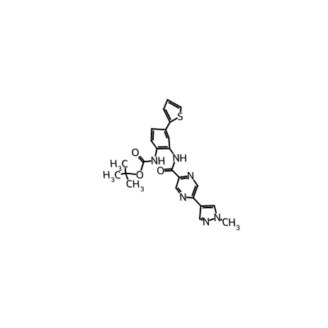 Cn1cc(-c2cnc(C(=O)Nc3cc(-c4cccs4)ccc3NC(=O)OC(C)(C)C)cn2)cn1